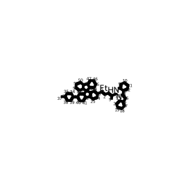 CC/C(=C\C=C(/C)C1Nc2ccccc2-c2cc3ccccc3n21)c1ccc2c(c1)C1(c3cc(-c4ccc(C)cc4)ccc3-2)c2ccccc2C2C=CC=CC21